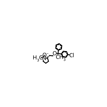 C[C@@](OCC[C@H]1CCC[N+]1(C)[O-])(c1ccccc1)c1ccc(Cl)cc1